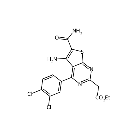 CCOC(=O)Cc1nc(-c2ccc(Cl)c(Cl)c2)c2c(N)c(C(N)=O)sc2n1